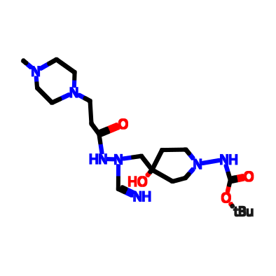 CN1CCN(CCC(=O)NN(C=N)CC2(O)CCN(NC(=O)OC(C)(C)C)CC2)CC1